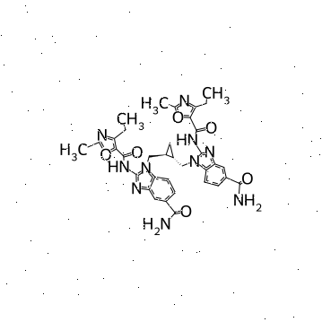 CCc1nc(C)oc1C(=O)Nc1nc2cc(C(N)=O)ccc2n1C[C@H]1C[C@@H]1Cn1c(NC(=O)c2oc(C)nc2CC)nc2cc(C(N)=O)ccc21